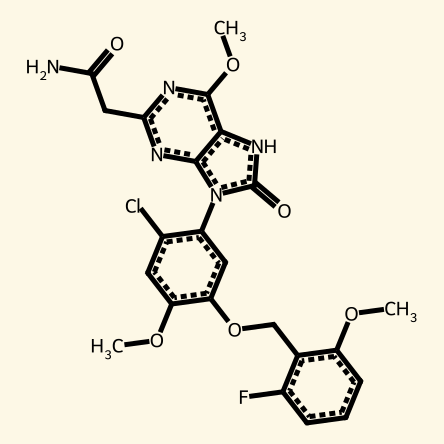 COc1cc(Cl)c(-n2c(=O)[nH]c3c(OC)nc(CC(N)=O)nc32)cc1OCc1c(F)cccc1OC